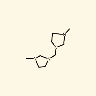 CN1CCN(CN2CCN(C)C2)C1